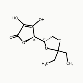 CCC1(CC)OC[C@@H]([C@H]2OC(=O)C(O)=C2O)O1